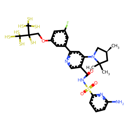 C[C@@H]1CN(c2cc(-c3cc(F)cc(OCC(S)(C(S)(S)S)C(S)(S)S)c3)ncc2C(=O)NS(=O)(=O)c2cccc(N)n2)C(C)(C)C1